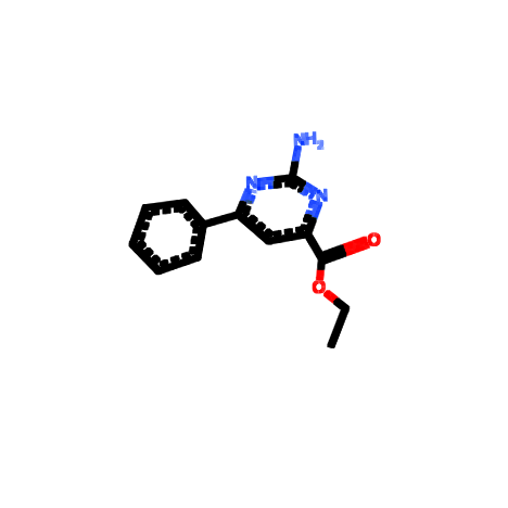 CCOC(=O)c1cc(-c2ccccc2)nc(N)n1